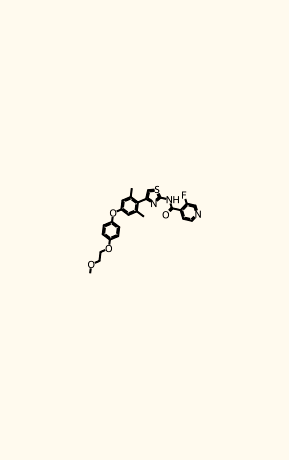 COCCOc1ccc(Oc2cc(C)c(-c3csc(NC(=O)c4ccncc4F)n3)c(C)c2)cc1